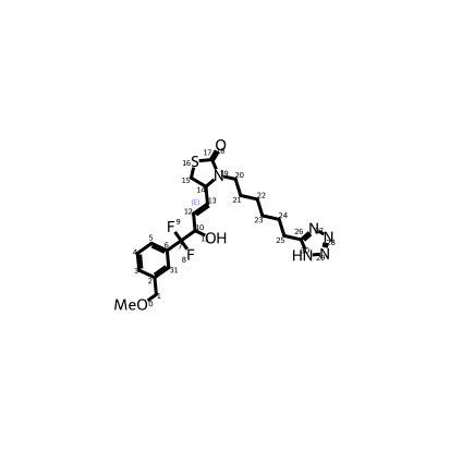 COCc1cccc(C(F)(F)C(O)/C=C/C2CSC(=O)N2CCCCCCc2nnn[nH]2)c1